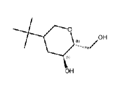 CC(C)(C)C1CO[C@H](CO)[C@@H](O)C1